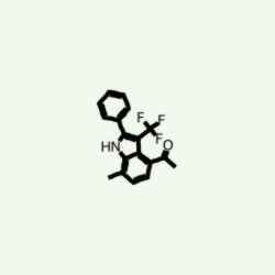 CC(=O)c1ccc(C)c2[nH]c(-c3ccccc3)c(C(F)(F)F)c12